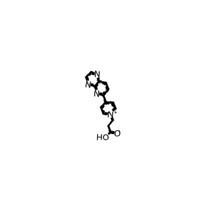 O=C(O)CC[n+]1ccc(-c2ccc3nccnc3n2)cc1